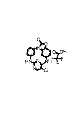 O=C(O)C(F)(F)F.O=c1[nH]c2cc(Nc3nc(Nc4ccccc4)ncc3Cl)ccc2o1